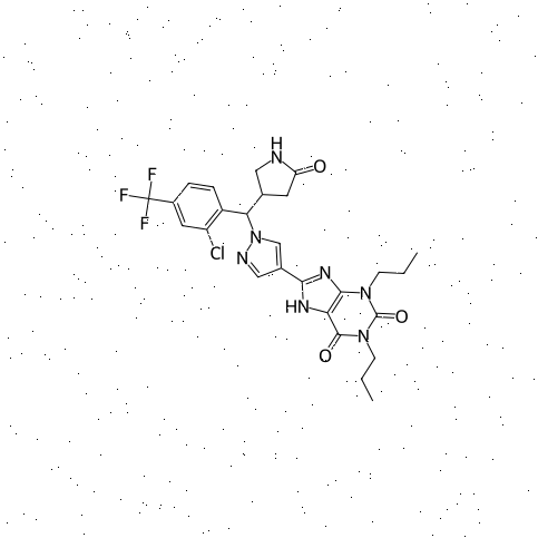 CCCn1c(=O)c2[nH]c(-c3cnn(C(c4ccc(C(F)(F)F)cc4Cl)C4CNC(=O)C4)c3)nc2n(CCC)c1=O